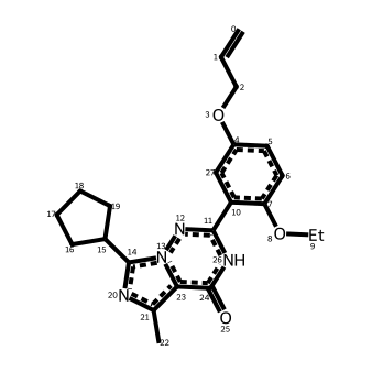 C=CCOc1ccc(OCC)c(-c2nn3c(C4CCCC4)nc(C)c3c(=O)[nH]2)c1